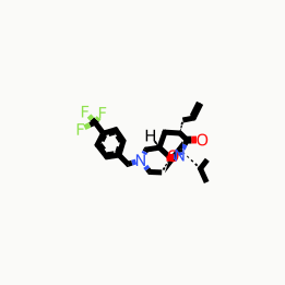 C=CC[C@H]1C[C@@H]2CN(Cc3ccc(C(F)(F)F)cc3)CC[C@@]23OC[C@H](C(C)C)N3C1=O